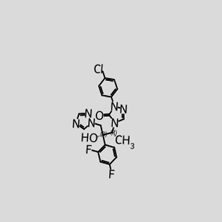 C[C@@H](n1cnn(-c2ccc(Cl)cc2)c1=O)[C@](O)(Cn1cncn1)c1ccc(F)cc1F